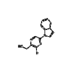 OCc1ccc(-n2c[c]c3ccccc32)cc1Br